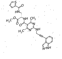 COC(=O)[C@H](CNC(=O)c1cccs1)NC(=O)c1c(C)nc(NCC#Cc2cccc3[nH]ncc23)nc1C